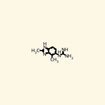 Cc1nc2c(C)c(NC(=N)N)ccc2[nH]1